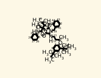 CCC(C)(C)c1ccc(OC(C)CCNC2C(=O)N(C(Cl)(C(=O)Nc3ccccc3)C(=O)C(C)(C)C)C(=O)N2Cc2ccccc2)c(C(C)(C)CC)c1